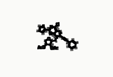 CC(=O)OC1CO[C@@H](Cn2c(C#Cc3ccccc3)nc3c(Cl)nc(-c4cccs4)nc32)C1OC(C)=O